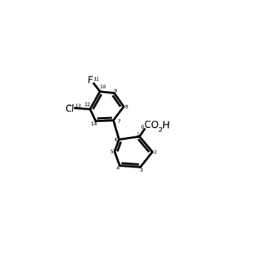 O=C(O)c1ccccc1-c1ccc(F)c(Cl)c1